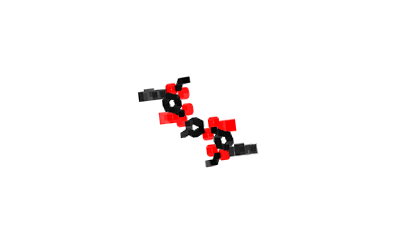 C=CC(=O)OC1(CCCCCC)C=CC(O)(C(=O)Oc2ccc(OC(=O)C3(O)C=CC(CCCCCC)(OC(=O)C=C)C=C3)c(C)c2)C=C1